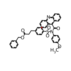 COc1ccc(N(C(=O)c2c3ccccc3nc3ccccc23)S(=O)(=O)c2ccc(CCC(=O)OCc3ccccc3)cc2)cc1